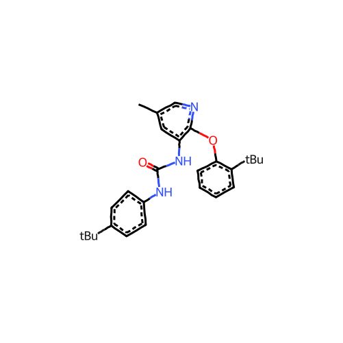 Cc1cnc(Oc2ccccc2C(C)(C)C)c(NC(=O)Nc2ccc(C(C)(C)C)cc2)c1